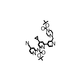 CC(C)(C)OC(=O)N1CCN(Cc2cc(-c3cc(C4CC4)cc(N(C(=O)OC(C)(C)C)c4cc(C#N)ccn4)n3)ccn2)CC1